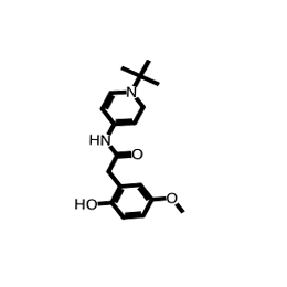 COc1ccc(O)c(CC(=O)NC2=CCN(C(C)(C)C)C=C2)c1